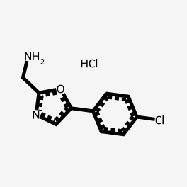 Cl.NCc1ncc(-c2ccc(Cl)cc2)o1